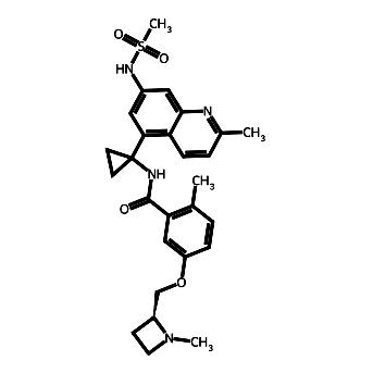 Cc1ccc2c(C3(NC(=O)c4cc(OC[C@@H]5CCN5C)ccc4C)CC3)cc(NS(C)(=O)=O)cc2n1